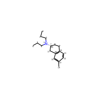 CCCN(CCC)[C@@H]1CCc2ccc(C)cc2C1